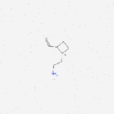 C=CC1CC[C@@H]1CCN